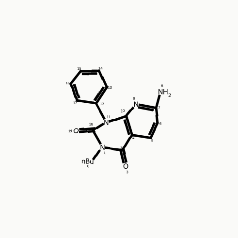 CCCCn1c(=O)c2ccc(N)nc2n(-c2ccccc2)c1=O